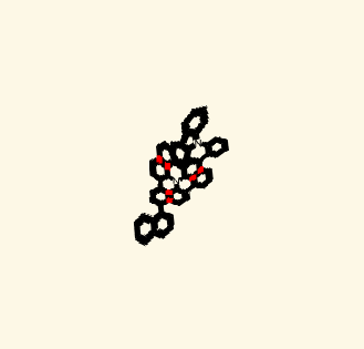 c1ccc(-c2ccccc2N(c2ccccc2-c2ccc(-c3cccc4ccccc34)cc2)c2ccc(-c3ccccc3-n3c4ccccc4c4ccccc43)cc2-c2ccccc2)cc1